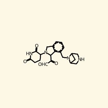 O=CC(=O)C1c2c(CN3C4CNCC3C4)cccc2CN1C1CCC(=O)NC1=O